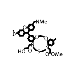 CNCc1ccc2c(-c3ccc4c(c3)OCCOc3cc(C)ccc3N(CC(=O)OC)CCSCCN4CC(=O)CO)c3ccc(=[N+](C)C)cc-3oc2c1